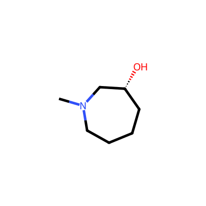 CN1CCCC[C@@H](O)C1